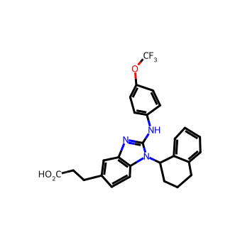 O=C(O)CCc1ccc2c(c1)nc(Nc1ccc(OC(F)(F)F)cc1)n2C1CCCc2ccccc21